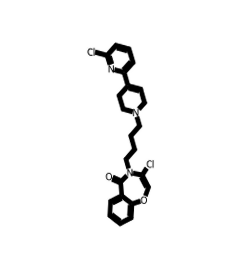 O=C1c2ccccc2OC=C(Cl)N1CCCCN1CC=C(c2cccc(Cl)n2)CC1